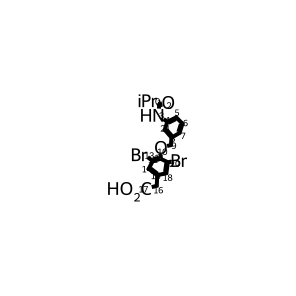 CC(C)C(=O)Nc1cccc(COc2c(Br)cc(CC(=O)O)cc2Br)c1